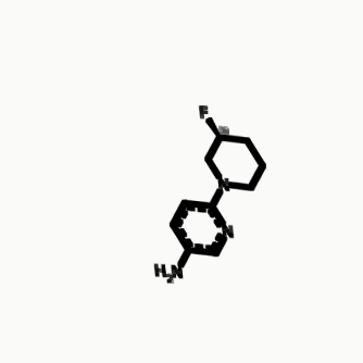 Nc1ccc(N2CCC[C@H](F)C2)nc1